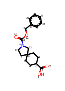 O=C(O)C1CCC2(CC1)CCN(C(=O)OCc1ccccc1)C2